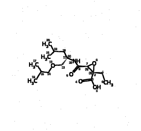 CC[C@]1(C(=O)O)O[C@@H]1C(=O)N[C@H](COCC(C)C)CC(C)C